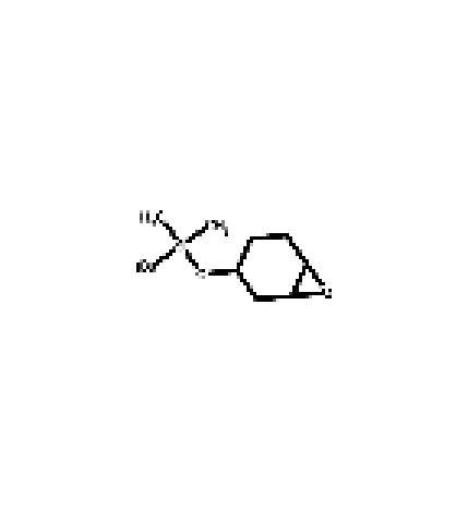 CC(C)(C)[Si](C)(C)OC1CCC2OC2C1